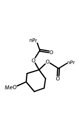 CCCC(=O)OC1(OC(=O)CCC)CCCC(OC)C1